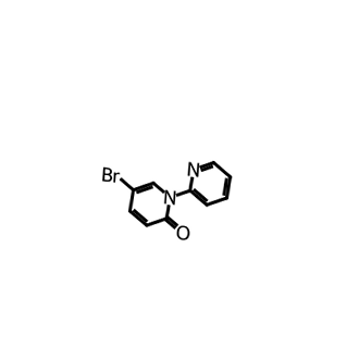 O=c1ccc(Br)cn1-c1ccccn1